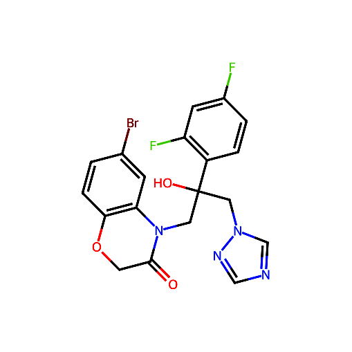 O=C1COc2ccc(Br)cc2N1CC(O)(Cn1cncn1)c1ccc(F)cc1F